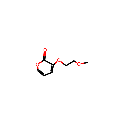 COCCOc1cccoc1=O